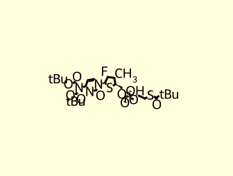 C[C@H]1[C@H](F)[C@H](n2ccc(N(C(=O)OC(C)(C)C)C(=O)OC(C)(C)C)nc2=O)S[C@@H]1COP(=O)(O)OCCSC(=O)C(C)(C)C